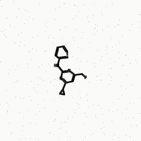 FCc1cc(C2CC2)nc(Nc2ccccc2)n1